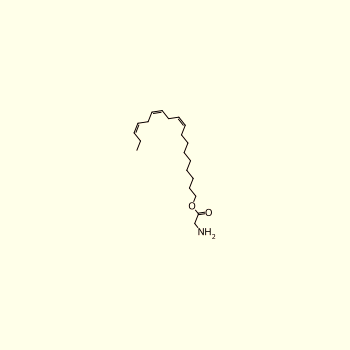 CC/C=C\C/C=C\C/C=C\CCCCCCCCOC(=O)CN